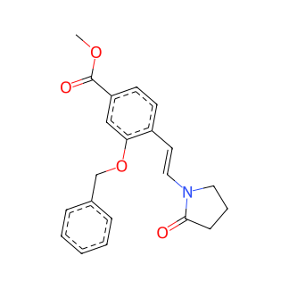 COC(=O)c1ccc(C=CN2CCCC2=O)c(OCc2ccccc2)c1